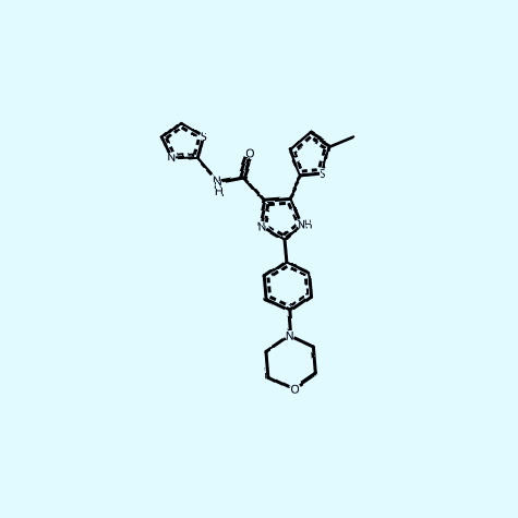 Cc1ccc(-c2[nH]c(-c3ccc(N4CCOCC4)cc3)nc2C(=O)Nc2nccs2)s1